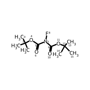 CC(C)(C)OC(=O)N(F)C(=O)OC(C)(C)C